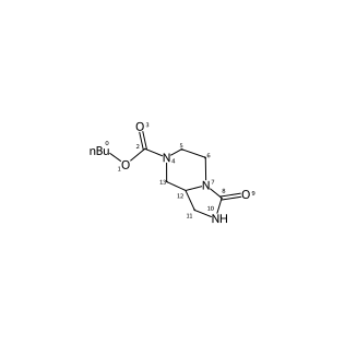 CCCCOC(=O)N1CCN2C(=O)NCC2C1